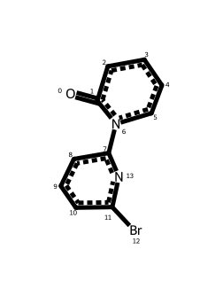 O=c1ccccn1-c1cccc(Br)n1